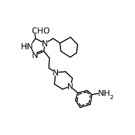 Nc1cccc(N2CCN(CCC3=NNC(C=O)N3CC3CCCCC3)CC2)c1